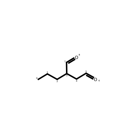 CCCC([CH]C=O)C=O